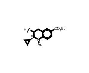 CCOC(=O)c1ccc2c(c1)CC(C)[C@H](C1CC1)N2C(C)=O